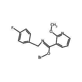 COc1ncccc1C(=NCc1ccc(F)cc1)OBr